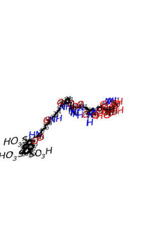 [N-]=[N+]=NCOC1CC(n2cc(C#CCNC(=O)COC(COc3cccc(C(=O)NCCCCCNC(=O)CCCCCNC(=O)COc4cc(S(=O)(=O)O)c5ccc6c(S(=O)(=O)O)cc(S(=O)(=O)O)c7ccc4c5c76)c3)N=[N+]=[N-])c(=O)[nH]c2=O)OC1COP(=O)(O)OP(=O)(O)OP(=O)(O)O